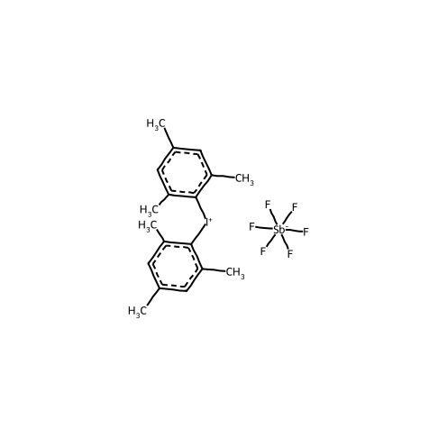 Cc1cc(C)c([I+]c2c(C)cc(C)cc2C)c(C)c1.[F][Sb-]([F])([F])([F])([F])[F]